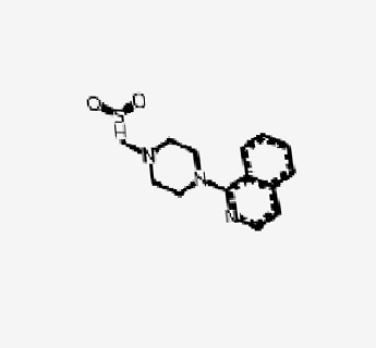 O=[SH](=O)CN1CCN(c2nccc3ccccc23)CC1